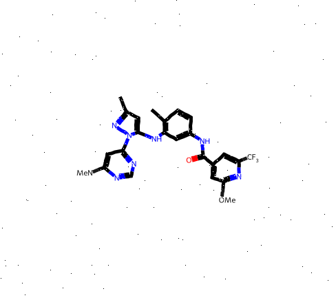 CNc1cc(-n2nc(C)cc2Nc2cc(NC(=O)c3cc(OC)nc(C(F)(F)F)c3)ccc2C)ncn1